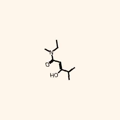 CCN(C)C(=O)/C=C(\O)C(C)C